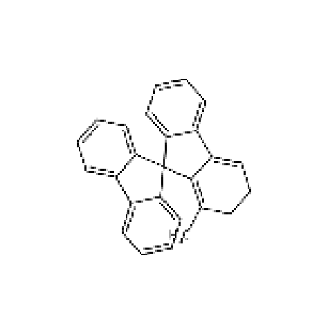 CC1=C2C(=CCC1)c1ccccc1C21c2ccccc2-c2ccccc21